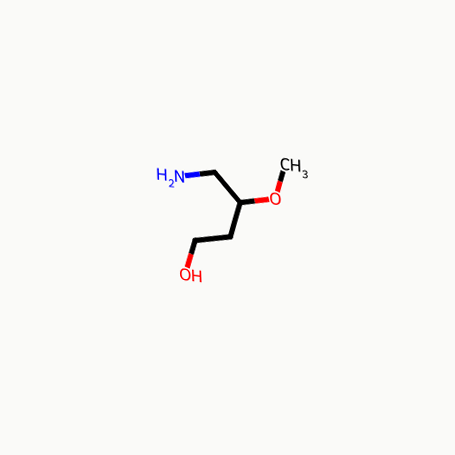 COC(CN)CCO